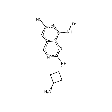 CC(C)Nc1nc(C#N)cc2cnc(N[C@H]3C[C@H](N)C3)nc12